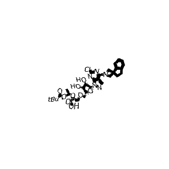 CC(OC(=O)C(C)(C)C)OP(=O)(O)COC[C@H]1O[C@@H](n2ncc3c(N4CC5(CCc6ccccc65)C4)nc(Cl)nc32)[C@H](O)[C@@H]1O